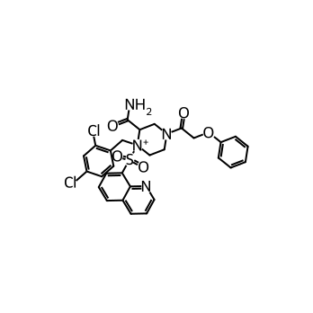 NC(=O)C1CN(C(=O)COc2ccccc2)CC[N+]1(Cc1ccc(Cl)cc1Cl)S(=O)(=O)c1cccc2cccnc12